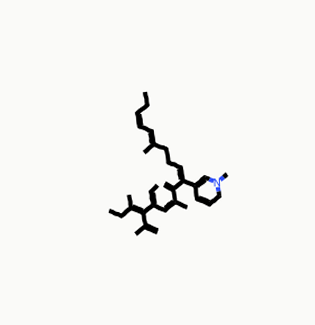 C=C(\C(C)=C/C(=C\C)C(/C(=C)C)=C(\C)CC)/C(=C\CC/C(C)=C/C=C\CC)C1=CN(C)CC=C1